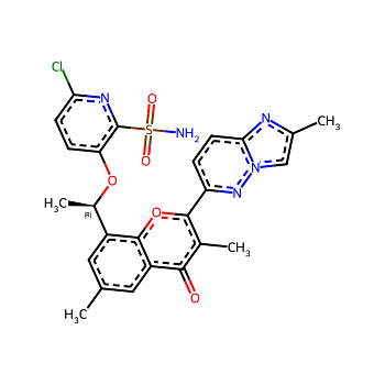 Cc1cc([C@@H](C)Oc2ccc(Cl)nc2S(N)(=O)=O)c2oc(-c3ccc4nc(C)cn4n3)c(C)c(=O)c2c1